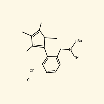 CCCC[N]([Ti+2])Cc1ccccc1C1=C(C)C(C)=C(C)C1C.[Cl-].[Cl-]